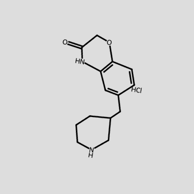 Cl.O=C1COc2ccc(CC3CCCNC3)cc2N1